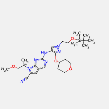 COC[C@H](C)n1c(C#N)cc2cnc(Nc3cn(CCO[Si](C)(C)C(C)(C)C)nc3OC3CCOCC3)nc21